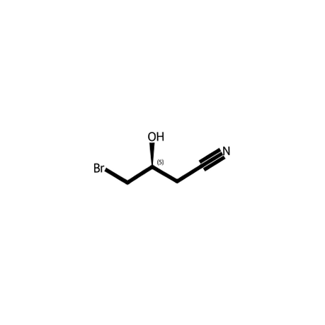 N#CC[C@H](O)CBr